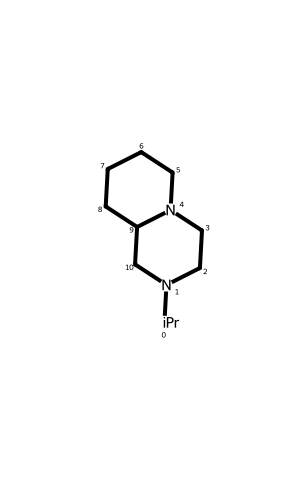 CC(C)N1CCN2CCCCC2C1